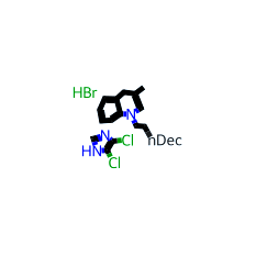 Br.CCCCCCCCCCCCN1C=C(C)Cc2ccccc21.Clc1nc[nH]c1Cl